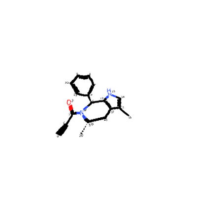 C#CC(=O)N1[C@@H](c2ccccc2)c2[nH]cc(C)c2C[C@@H]1C